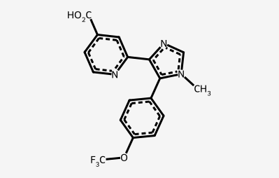 Cn1cnc(-c2cc(C(=O)O)ccn2)c1-c1ccc(OC(F)(F)F)cc1